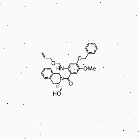 C=CCOCNc1cc(OCc2ccccc2)c(OC)cc1C(=O)N1Cc2ccccc2C[C@H]1CO